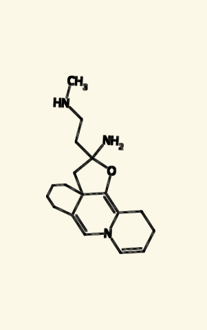 CNCCC1(N)CC23CCCCC2=CN2C=CCCC2=C3O1